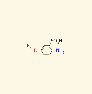 Nc1ccc(OC(F)(F)F)cc1S(=O)(=O)O